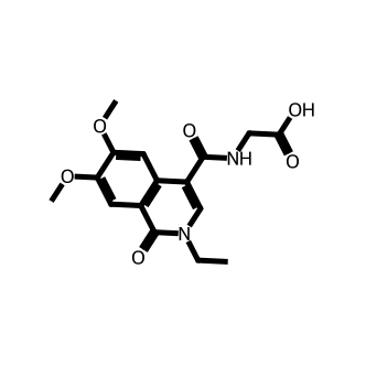 CCn1cc(C(=O)NCC(=O)O)c2cc(OC)c(OC)cc2c1=O